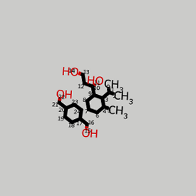 CC(C)C1C(C)CCCC1C(O)CCO.OCC1CCC(CO)CC1